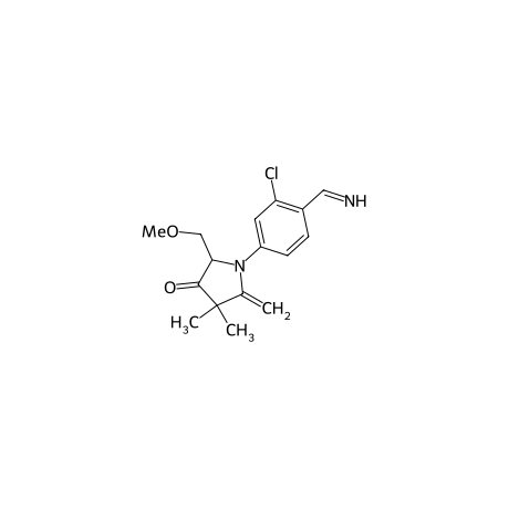 C=C1N(c2ccc(C=N)c(Cl)c2)C(COC)C(=O)C1(C)C